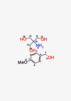 COc1ccc(CO)cc1.NC(CO)(CO)CO